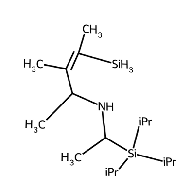 CC([SiH3])=C(C)C(C)NC(C)[Si](C(C)C)(C(C)C)C(C)C